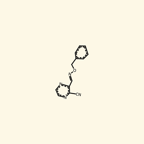 N#Cc1nccnc1/C=N/OCc1ccccc1